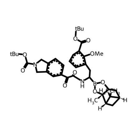 COc1c(CC(NC(=O)C(=O)c2ccc3c(c2)CN(C(=O)OC(C)(C)C)C3)B2OC3C[C@H]4C[C@@H](C4(C)C)[C@]3(C)O2)cccc1C(=O)OC(C)(C)C